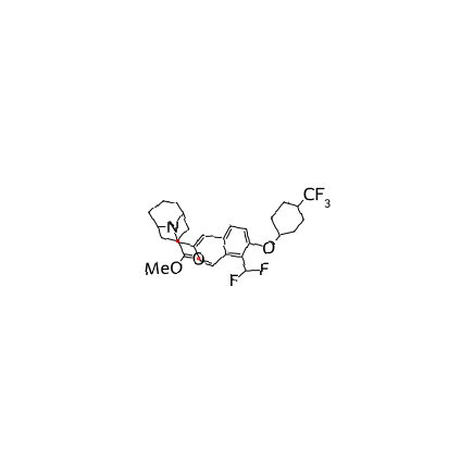 COC(=O)C1CC2CCCC(C1)N2Cc1ccc2c(C(F)F)c(OC3CCC(C(F)(F)F)CC3)ccc2c1